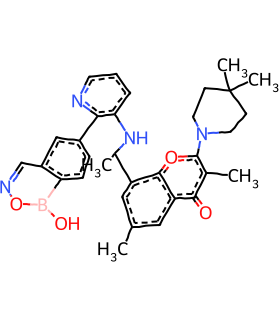 Cc1cc(C(C)Nc2cccnc2-c2ccc3c(c2)C=NOB3O)c2oc(N3CCC(C)(C)CC3)c(C)c(=O)c2c1